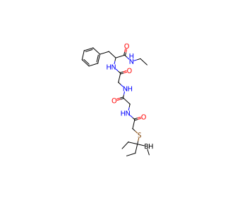 CBC(CC)(CC)SCC(=O)NCC(=O)NCC(=O)NC(Cc1ccccc1)C(=O)NCC